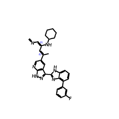 C=N/C=C(\C=C(/C)c1cnc2[nH]nc(-c3nc4c(-c5cccc(F)c5)cccc4[nH]3)c2c1)NC1CCCCC1